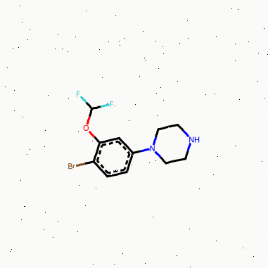 FC(F)Oc1cc(N2CCNCC2)ccc1Br